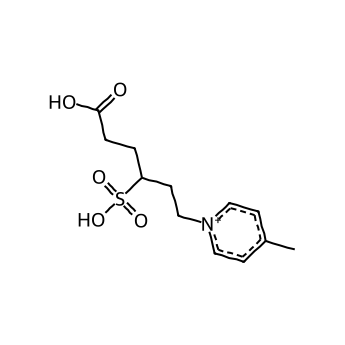 Cc1cc[n+](CCC(CCC(=O)O)S(=O)(=O)O)cc1